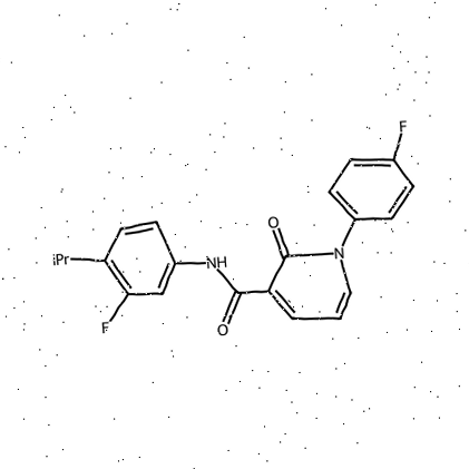 CC(C)c1ccc(NC(=O)c2cccn(-c3ccc(F)cc3)c2=O)cc1F